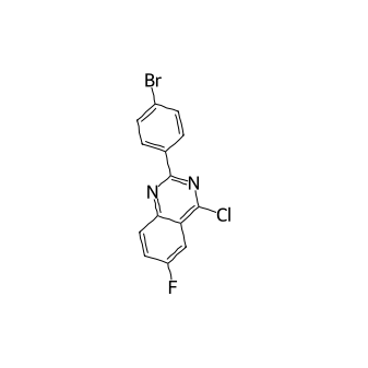 Fc1ccc2nc(-c3ccc(Br)cc3)nc(Cl)c2c1